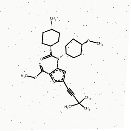 COC(=O)c1sc(C#CC(C)(C)C)cc1N(C(=O)[C@H]1CC[C@H](C)CC1)[C@H]1CC[C@H](OC)CC1